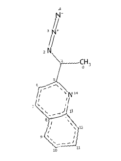 CC(N=[N+]=[N-])c1ccc2ccccc2n1